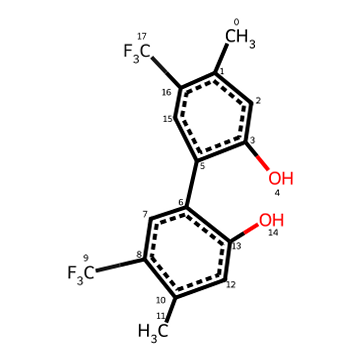 Cc1cc(O)c(-c2cc(C(F)(F)F)c(C)cc2O)cc1C(F)(F)F